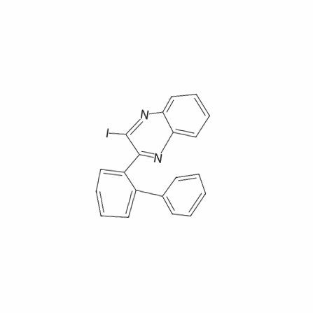 Ic1nc2ccccc2nc1-c1ccccc1-c1ccccc1